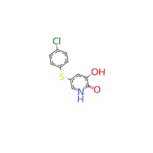 O=c1[nH]cc(Sc2ccc(Cl)cc2)cc1O